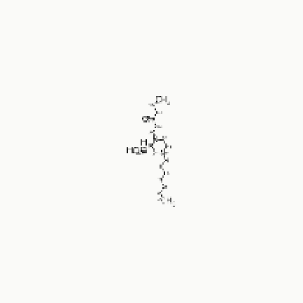 CCCCCCCN1CCN(CCC(=O)CCC)CC1.Cl.Cl